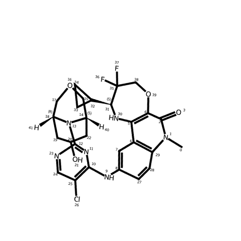 Cn1c(=O)c2c(c3cc(Nc4nc(N5[C@@H]6COC[C@H]5CC(O)C6)ncc4Cl)ccc31)N[C@@H](C1CC1)C(F)(F)CO2